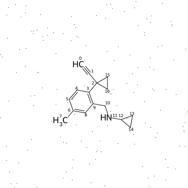 C#CC1(c2ccc(C)cc2CNC2CC2)CC1